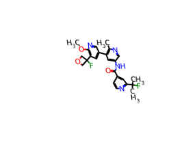 COc1ncc(-c2cc(NC(=O)c3ccnc(C(C)(C)F)c3)cnc2C)cc1C1(F)COC1